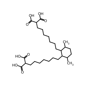 CC1CCC(C)C(CCCCCCCC(C(=O)O)C(=O)O)C1CCCCCCCC(C(=O)O)C(=O)O